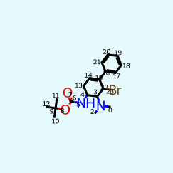 CN(C)C1C(NC(=O)OC(C)(C)C)CC=C(c2ccccc2)C1Br